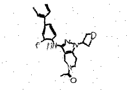 C=C/C(=C\C)c1ccc(Nc2nn(C3COC3)c3c2CN(C(C)=O)CC3)c(F)c1